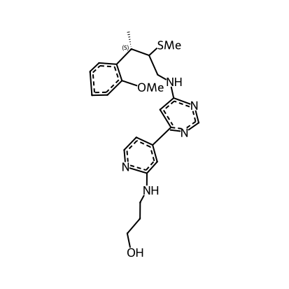 COc1ccccc1[C@H](C)C(CNc1cc(-c2ccnc(NCCCO)c2)ncn1)SC